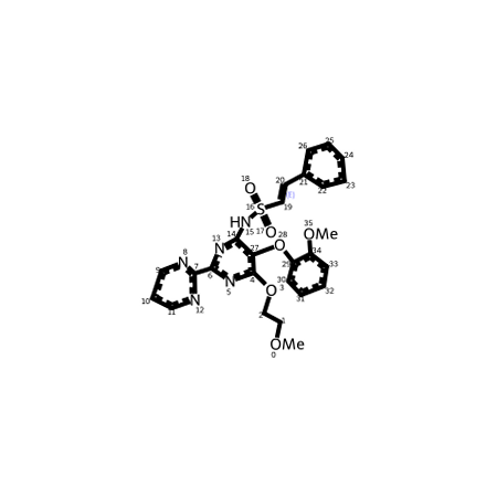 COCCOc1nc(-c2ncccn2)nc(NS(=O)(=O)/C=C/c2ccccc2)c1Oc1ccccc1OC